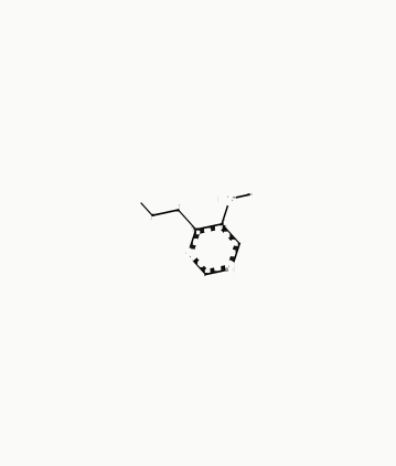 CNc1cncnc1CCO